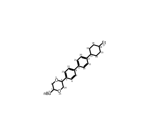 CCCCC1COC(c2ccc(-c3ccc(C4CCC(CC)CC4)cc3)cc2)CO1